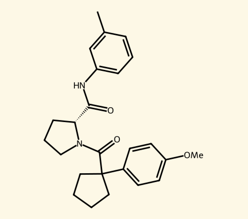 COc1ccc(C2(C(=O)N3CCC[C@@H]3C(=O)Nc3cccc(C)c3)CCCC2)cc1